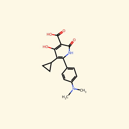 CN(C)c1ccc(-c2[nH]c(=O)c(C(=O)O)c(O)c2C2CC2)cc1